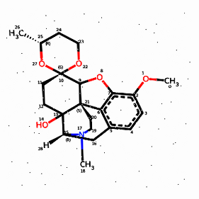 COc1ccc2c3c1OC1[C@@]4(CCC5(O)[C@@H](C2)N(C)CC[C@]315)OCC[C@@H](C)O4